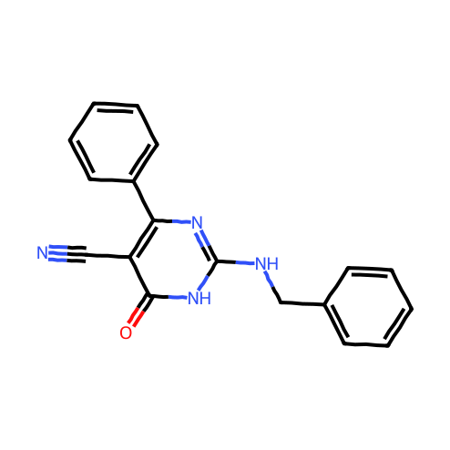 N#Cc1c(-c2ccccc2)nc(NCc2ccccc2)[nH]c1=O